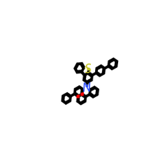 c1ccc(-c2ccc(-c3cc(N(c4ccc(-c5ccccc5)cc4)c4ccccc4-c4ccccc4)cc4c3sc3ccccc34)cc2)cc1